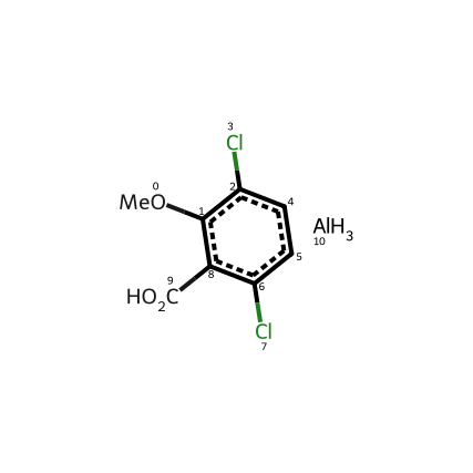 COc1c(Cl)ccc(Cl)c1C(=O)O.[AlH3]